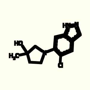 CC1(O)CCN(c2cc3[nH]ncc3cc2Cl)C1